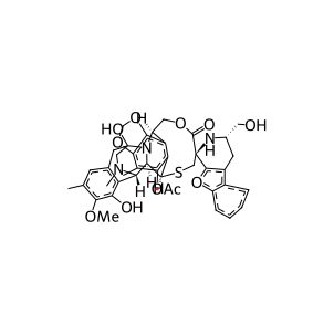 COc1c(C)cc2c(c1O)[C@H]1[C@@H]3[C@@H]4SC[C@]5(N[C@H](CO)Cc6c5oc5ccccc65)C(=O)OC[C@@H](c5c6c(c(C)c(OC(C)=O)c54)OCO6)N3C(O)(C2)CN1C